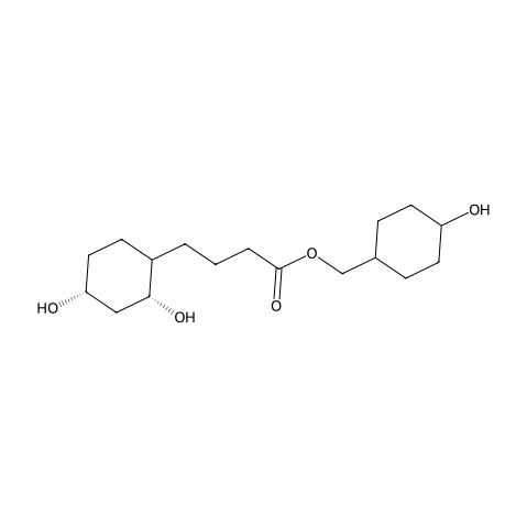 O=C(CCCC1CC[C@@H](O)C[C@H]1O)OCC1CCC(O)CC1